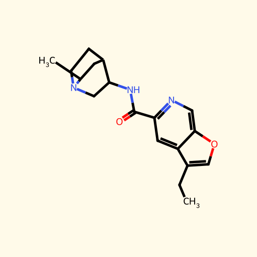 CCc1coc2cnc(C(=O)NC3CN4CCC3CC4C)cc12